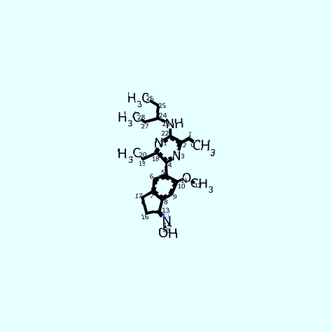 CCc1nc(-c2cc3c(cc2OC)/C(=N/O)CC3)c(CC)nc1NC(CC)CC